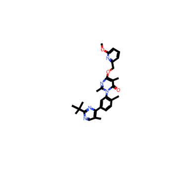 COc1cccc(COc2nc(C)n(-c3cc(-c4nc(C(C)(C)C)ncc4C)ccc3C)c(=O)c2C)n1